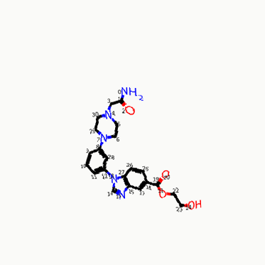 NC(=O)CN1CCN(c2cccc(-n3cnc4cc(C(=O)OCCO)ccc43)c2)CC1